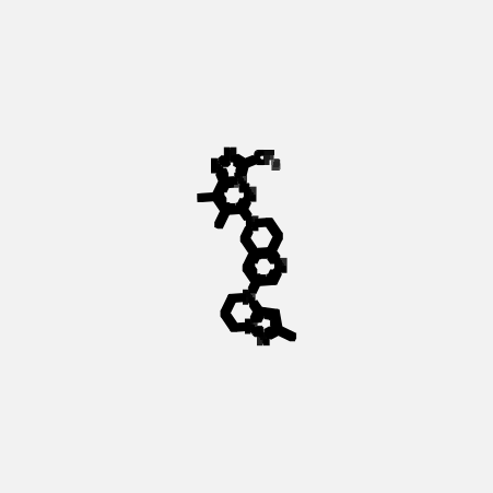 Cc1cc2n(n1)CCCN2c1cnc2c(c1)CN(c1nn3c(C(F)(F)F)nnc3c(C)c1C)CC2